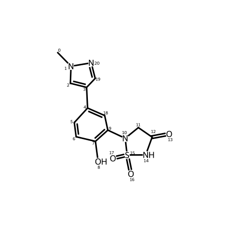 Cn1cc(-c2ccc(O)c(N3CC(=O)NS3(=O)=O)c2)cn1